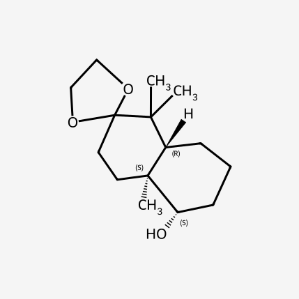 CC1(C)[C@@H]2CCC[C@H](O)[C@@]2(C)CCC12OCCO2